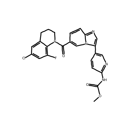 COC(=O)Nc1ccc(-c2cnc3ccc(C(=O)N4CCCc5cc(Cl)cc(F)c54)cn23)cn1